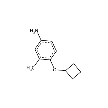 Cc1cc(N)ccc1OC1CCC1